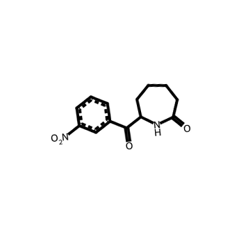 O=C1CCCCC(C(=O)c2cccc([N+](=O)[O-])c2)N1